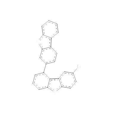 Brc1ccc2sc3cccc(-c4ccc5c(c4)sc4ccccc45)c3c2c1